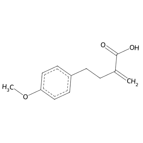 C=C(CCc1ccc(OC)cc1)C(=O)O